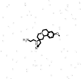 COc1ccc2c(c1)CCN1CCC(CC#N)(NCCN)CC21